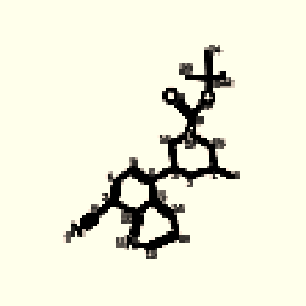 CC1CC(c2ccc(C#N)c3ncccc23)CN(C(=O)OC(C)(C)C)C1